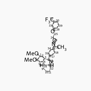 COc1cc2c(cc1OC)[C@H]1CCCC[C@H]1N=C2c1ccc(C(C)=NOCCOc2cccc(C(F)(F)F)c2)cc1